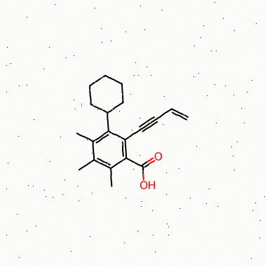 C=CC#Cc1c(C(=O)O)c(C)c(C)c(C)c1C1CCCCC1